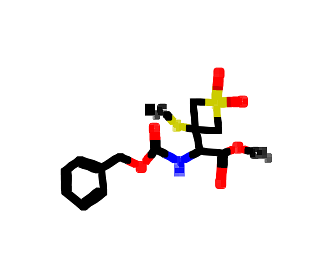 COC(=O)C(NC(=O)OCc1ccccc1)C1(SC)CS(=O)(=O)C1